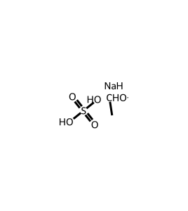 C[C]=O.O=S(=O)(O)O.[NaH]